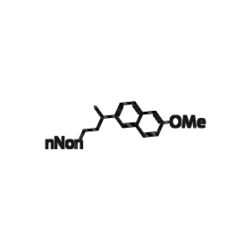 CCCCCCCCCCCC(C)c1ccc2cc(OC)ccc2c1